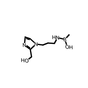 CB(O)NCCCn1ccnc1CO